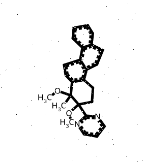 COC1(C)c2ccc3c(ccc4ccccc43)c2CCC1(OC)c1ncccn1